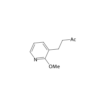 COc1ncccc1CCC(C)=O